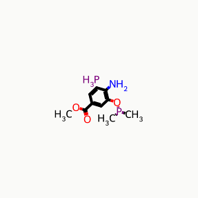 COC(=O)c1ccc(N)c(OP(C)C)c1.P